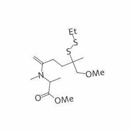 C=C(CCC(C)(COC)SSCC)N(C)C(C)C(=O)OC